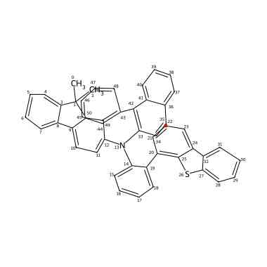 CC1(C)c2ccccc2C2=CC=C(N(c3ccccc3-c3cccc4c3sc3ccccc34)c3ccc4ccccc4c3-c3ccccc3)CC21